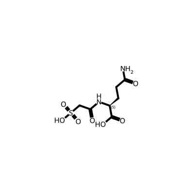 NC(=O)CC[C@H](NC(=O)CS(=O)(=O)O)C(=O)O